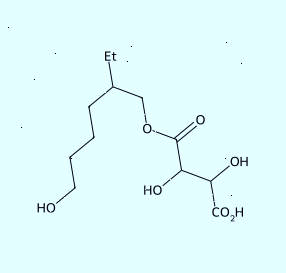 CCC(CCCCO)COC(=O)C(O)C(O)C(=O)O